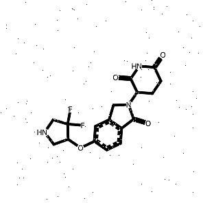 O=C1CCC(N2Cc3cc(OC4CNCC4(F)F)ccc3C2=O)C(=O)N1